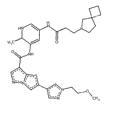 COCCn1cc(-c2cn3ncc(C(=O)NC4=CC(NC(=O)CCN5CCC6(CCC6)C5)=CNC4C)c3s2)cn1